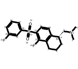 CN(C)C[C@@H]1CCCc2c1ccc(S(=O)(=O)c1cccc(F)c1)c2F